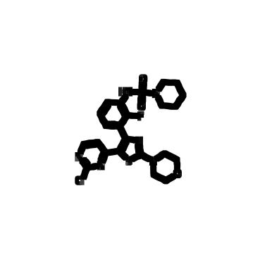 O=S(=O)(Nc1cccc(-c2nc(N3CCOCC3)sc2-c2ccnc(Cl)n2)c1F)N1CCCCC1